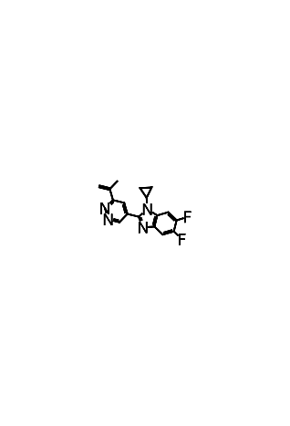 C=C(C)c1cc(-c2nc3cc(F)c(F)cc3n2C2CC2)cnn1